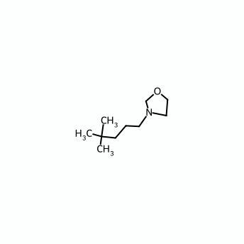 CC(C)(C)CCCN1CCOC1